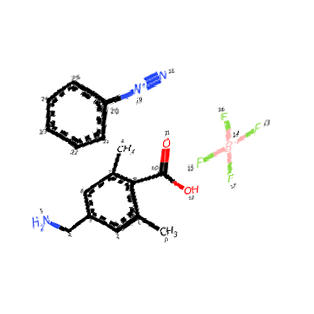 Cc1cc(CN)cc(C)c1C(=O)O.F[B-](F)(F)F.N#[N+]c1ccccc1